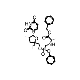 C[C@H](NCP(=O)(OC[C@]1(F)C[C@H](C)[C@H](n2ccc(=O)[nH]c2=O)O1)Oc1ccccc1)C(=O)OCc1ccccc1